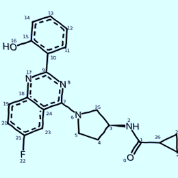 O=C(N[C@H]1CCN(c2nc(-c3ccccc3O)nc3ccc(F)cc23)C1)C1CC1